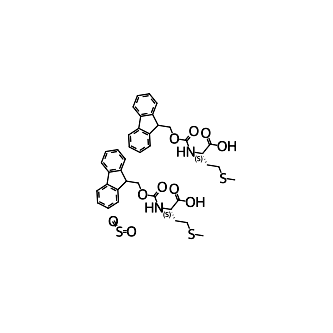 CSCC[C@H](NC(=O)OCC1c2ccccc2-c2ccccc21)C(=O)O.CSCC[C@H](NC(=O)OCC1c2ccccc2-c2ccccc21)C(=O)O.O=S=O